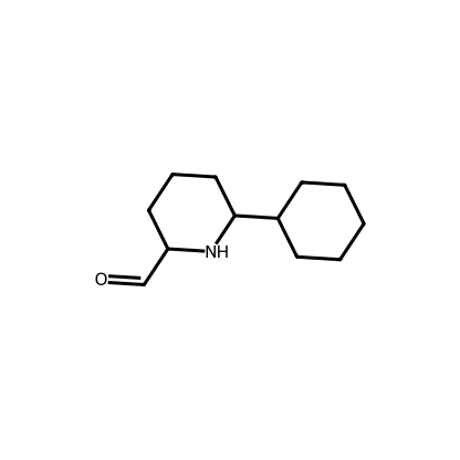 O=CC1CCCC(C2CCCCC2)N1